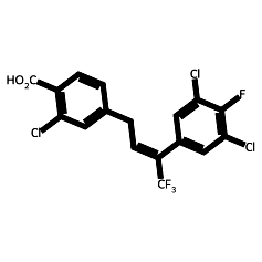 O=C(O)c1ccc(C/C=C(\c2cc(Cl)c(F)c(Cl)c2)C(F)(F)F)cc1Cl